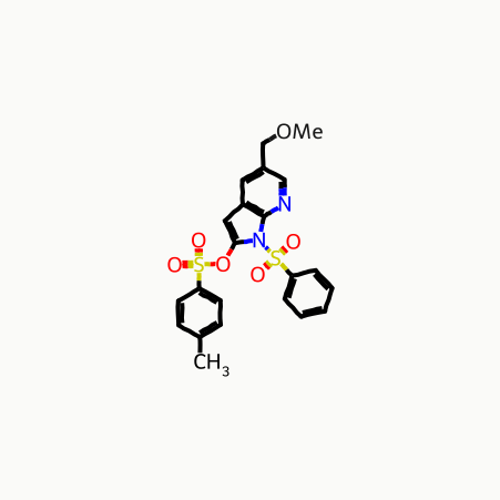 COCc1cnc2c(c1)cc(OS(=O)(=O)c1ccc(C)cc1)n2S(=O)(=O)c1ccccc1